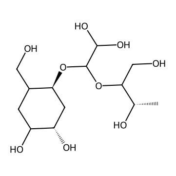 C[C@H](O)C(CO)OC(O[C@H]1C[C@H](O)C(O)CC1CO)C(O)O